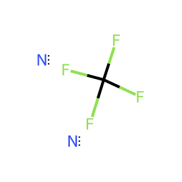 FC(F)(F)F.[N].[N]